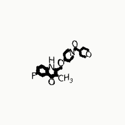 Cc1c(COC2CCN(C(=O)C3CCOCC3)CC2)[nH]c2ccc(F)cc2c1=O